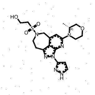 C[C@@H]1COCCN1c1cc2c3c(nn(-c4cc[nH]n4)c3n1)CCN(S(=O)(=O)CCO)C2